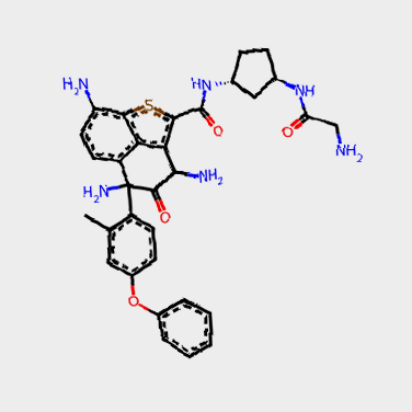 Cc1cc(Oc2ccccc2)ccc1C1(N)C(=O)C(N)c2c(C(=O)N[C@@H]3CC[C@@H](NC(=O)CN)C3)sc3c(N)ccc1c23